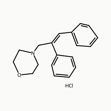 C(=C(CN1CCOCC1)c1ccccc1)c1ccccc1.Cl